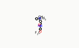 CN(C)C(c1ccccc1)C1CCC(=Cc2nc(-c3ccc(OC(F)(F)F)cc3)no2)CC1